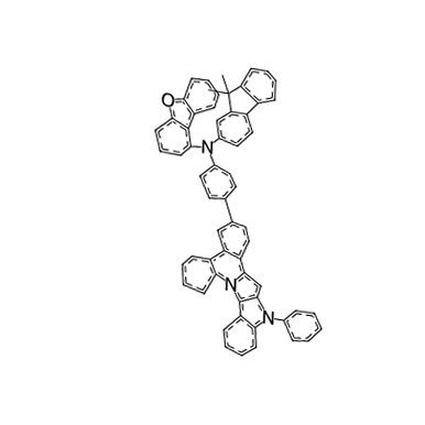 CC1(C)c2ccccc2-c2ccc(N(c3ccc(-c4ccc5c(c4)c4ccccc4n4c5cc5c4c4ccccc4n5-c4ccccc4)cc3)c3cccc4oc5ccccc5c34)cc21